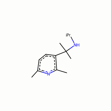 Cc1ccc(C(C)(C)NC(C)C)c(C)n1